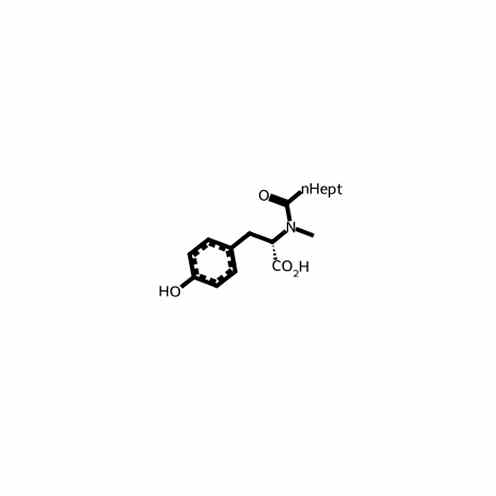 CCCCCCCC(=O)N(C)[C@@H](Cc1ccc(O)cc1)C(=O)O